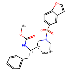 CO[C@@H](CN(CC(C)C)S(=O)(=O)c1ccc2occc2c1)[C@H](Cc1ccccc1)NC(=O)OC(C)(C)C